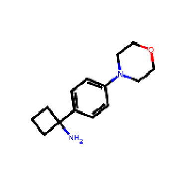 NC1(c2ccc(N3CCOCC3)cc2)CCC1